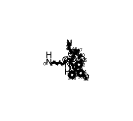 CNCCCCCC(=O)NC(COC(c1ccccc1)(c1ccc(OC)cc1)c1ccc(OC)cc1)C(C)OP(OCCC#N)N(C(C)C)C(C)C